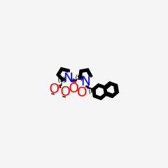 COC(OC)[C@@H]1CCCN1C(=O)[C@@H]1CCCN1C(=O)[C@@H]1CCc2ccccc2C1